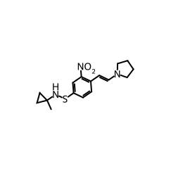 CC1(NSc2ccc(/C=C/N3CCCC3)c([N+](=O)[O-])c2)CC1